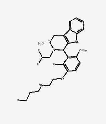 COc1ccc(OCCNCCCF)c(F)c1C1c2[nH]c3ccccc3c2C[C@@H](C)N1CC(F)F